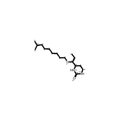 CCC(OCCCCCCCC(C)C)C1CCNC(=O)N1